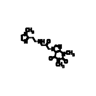 Cn1ccnc1CCNCC(=O)Cn1cnc2c1c(=O)n(C)c(=O)n2C